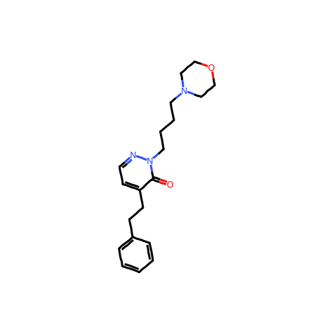 O=c1c(CCc2ccccc2)ccnn1CCCCN1CCOCC1